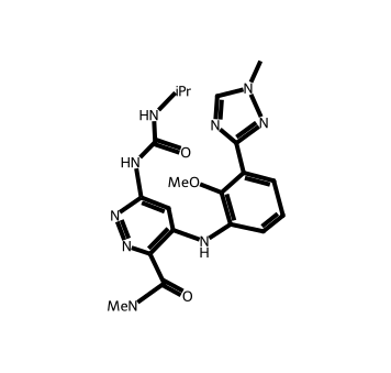 CNC(=O)c1nnc(NC(=O)NC(C)C)cc1Nc1cccc(-c2ncn(C)n2)c1OC